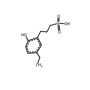 CCc1ccc(O)c(CCCS(=O)(=O)O)c1